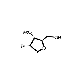 CC(=O)O[C@H]1[C@@H](F)[CH]O[C@@H]1CO